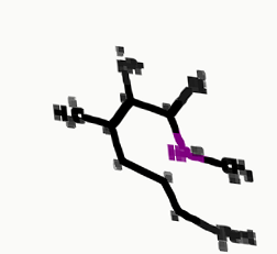 CCCC(C)CCCC(C)C(CCC)C(CC)PC